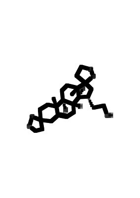 C[C@]12CCC3(CCOO3)CC1=CC[C@H]1[C@@H]3[C@@H](CCO)CC4(CCOO4)[C@@]3(C)CC[C@@H]12